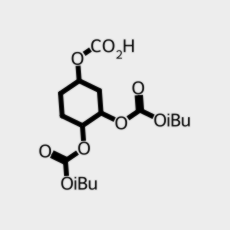 CC(C)COC(=O)OC1CCC(OC(=O)O)CC1OC(=O)OCC(C)C